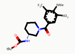 CNc1c([N+](=O)[O-])cc(C(=O)N2CCC[C@@H](NC(=O)OC(C)(C)C)C2)cc1C(F)(F)F